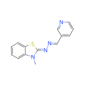 Cn1/c(=N/N=C/c2cccnc2)sc2ccccc21